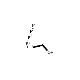 CCO.[B+3].[F-].[F-].[F-]